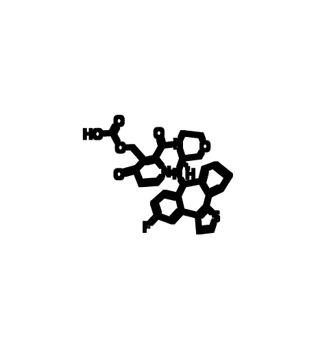 O=C(O)OCc1c2n(ccc1=O)N(C1c3ccc(F)cc3-c3ccsc3-c3ccccc31)[C@@H]1COCCN1C2=O